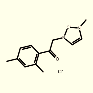 Cc1ccc(C(=O)CN2[C+]N(C)C=C2)c(C)c1.[Cl-]